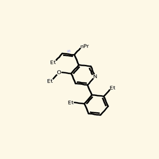 CC/C=C(/CCC)c1cnc(-c2c(CC)cccc2CC)cc1OCC